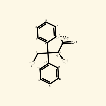 COC(=O)[C@@H](O)C(CO)(c1ccccc1)c1ccccc1